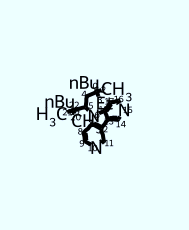 CCCCC(C)(CC)CC(n1c2ccncc2c2cnccc21)C(C)(C)CCCC